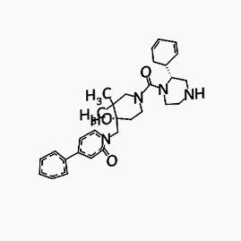 CC1(C)CN(C(=O)N2CCNC[C@H]2C2C=CC=CC2)CC[C@@]1(O)Cn1ccc(-c2ccccc2)cc1=O